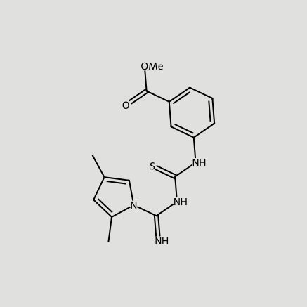 COC(=O)c1cccc(NC(=S)NC(=N)n2cc(C)cc2C)c1